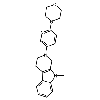 Cn1c2c(c3ccccc31)CCN(c1ccc(N3CCOCC3)nc1)C2